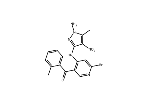 Cc1ccccc1C(=O)c1cnc(Br)cc1Nc1nn(N)c(C)c1[N+](=O)[O-]